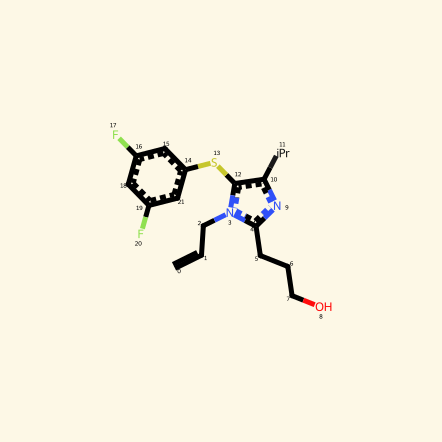 C=CCn1c(CCCO)nc(C(C)C)c1Sc1cc(F)cc(F)c1